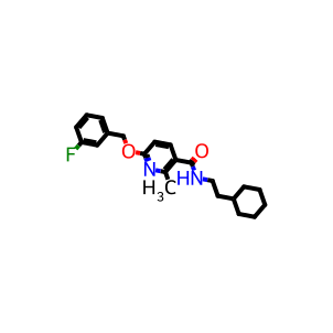 Cc1nc(OCc2cccc(F)c2)ccc1C(=O)NCCC1CCCCC1